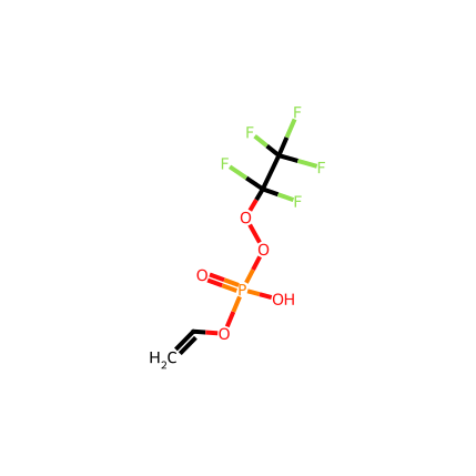 C=COP(=O)(O)OOC(F)(F)C(F)(F)F